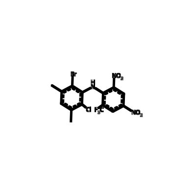 Cc1cc(C)c(Br)c(Nc2c([N+](=O)[O-])cc([N+](=O)[O-])cc2C(F)(F)F)c1Cl